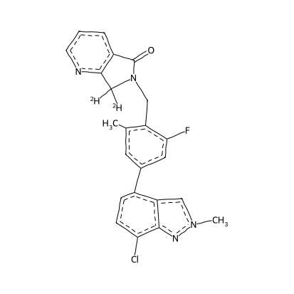 [2H]C1([2H])c2ncccc2C(=O)N1Cc1c(C)cc(-c2ccc(Cl)c3nn(C)cc23)cc1F